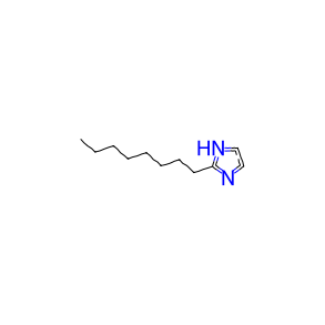 CCCCCCCCc1ncc[nH]1